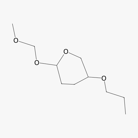 CCCOC1CCC(OCOC)OC1